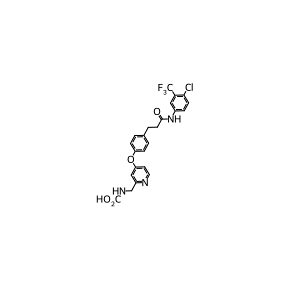 O=C(O)NCc1cc(Oc2ccc(CCC(=O)Nc3ccc(Cl)c(C(F)(F)F)c3)cc2)ccn1